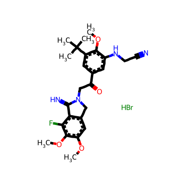 Br.COc1cc2c(c(F)c1OC)C(=N)N(CC(=O)c1cc(NCC#N)c(OC)c(C(C)(C)C)c1)C2